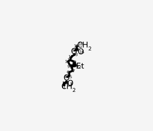 C=CC(=O)OCCCC1C2CC(CCOC(=O)C=C)C(C2)C1CC